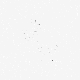 CC1(C)c2ccccc2-c2cc3c4cc(-c5ccc(N(c6ccc(-c7cccc8c7sc7ccccc78)cc6)c6cccc7c6oc6ccccc67)cc5)ccc4n(-c4ccccc4)c3cc21